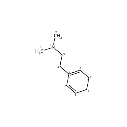 CN(C)CCC1=C[CH]CC=C1